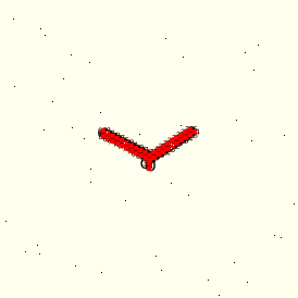 COC(=O)c1cc2cc3cc4cc5cc6cc7cc8cc9cc%10ccccc%10cc9cc8cc7cc6cc5cc4cc3cc2c2cc3cc4cc5cc6cc7cc8cc9cc%10cc%11ccccc%11cc%10cc9cc8cc7cc6cc5cc4cc3cc12